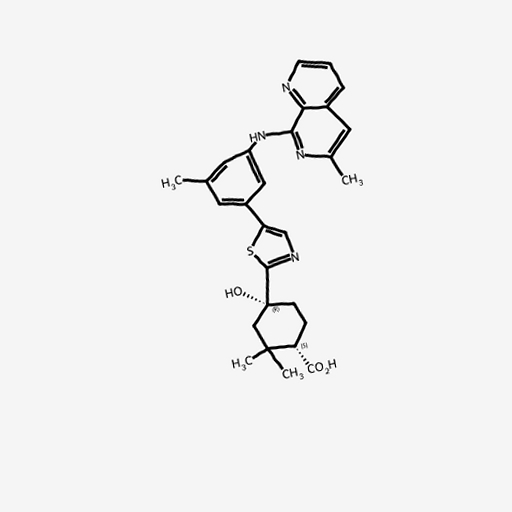 Cc1cc(Nc2nc(C)cc3cccnc23)cc(-c2cnc([C@@]3(O)CC[C@H](C(=O)O)C(C)(C)C3)s2)c1